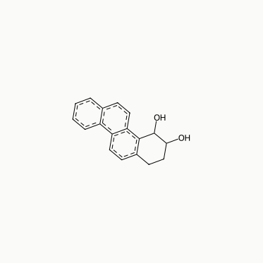 OC1CCc2ccc3c(ccc4ccccc43)c2C1O